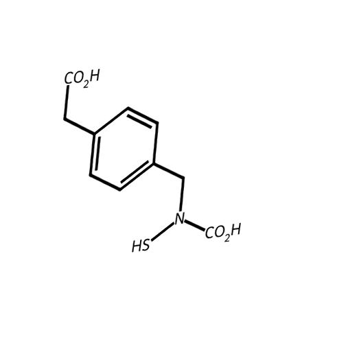 O=C(O)Cc1ccc(CN(S)C(=O)O)cc1